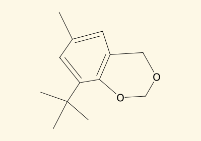 Cc1cc2c(c(C(C)(C)C)c1)OCOC2